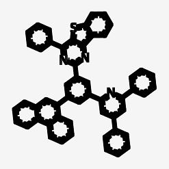 c1ccc(-c2cc(-c3ccccc3)nc(-c3cc(-c4nc(-c5ccccc5)c5sc6ccccc6c5n4)cc(-c4cc5ccccc5c5ccccc45)c3)c2)cc1